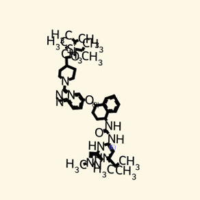 CC(C)[Si](OCC1CCN(c2nnc3ccc(O[C@@H]4CCC(NC(=O)N/C(=C/C(=N)C(C)(C)C)Nc5cnn(C)c5)c5ccccc54)cn23)CC1)(C(C)C)C(C)C